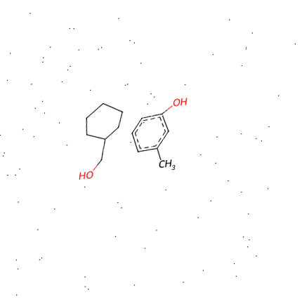 Cc1cccc(O)c1.OCC1CCCCC1